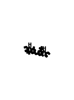 C=CC(CC)Nc1c(C)cc(Cc2cc(C)c(NC(C=C)CC)c(C(C)(C)C)c2)cc1C(C)(C)C